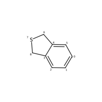 [c]1ccc2c(c1)CSC2